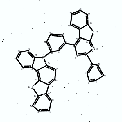 c1ccc(-c2nc(-c3cccc(-n4c5ccccc5c5c6sc7ccccc7c6ccc54)c3)c3c(n2)sc2ccccc23)cc1